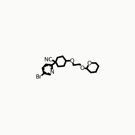 N#CC1(c2ccc(Br)cn2)CCC(OCCOC2CCCCO2)CC1